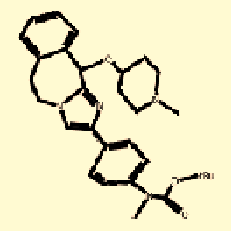 CN1CCC(OC2c3ccccc3CCn3cc(-c4ccc(N(C)C(=O)OC(C)(C)C)cc4)nc32)CC1